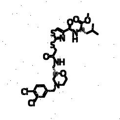 COC(=O)[C@H](CC(C)C)NC(=O)c1csc(SCC(=O)NC[C@H]2CN(Cc3ccc(Cl)c(Cl)c3)CCO2)n1